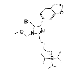 COCn1c(CCCO[Si](C(C)C)(C(C)C)C(C)C)nc(-c2ccc3ccoc3c2)c1Br